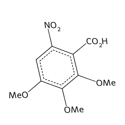 COc1cc([N+](=O)[O-])c(C(=O)O)c(OC)c1OC